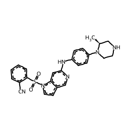 C[C@H]1CNCCN1c1ccc(Nc2cc3c(ccn3S(=O)(=O)c3ccccc3C#N)cn2)cc1